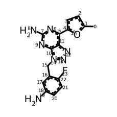 Cc1ccc(-c2nc(N)nc3c2nnn3Cc2cc(N)ccc2F)o1